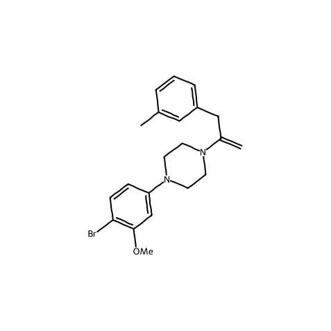 C=C(Cc1cccc(C)c1)N1CCN(c2ccc(Br)c(OC)c2)CC1